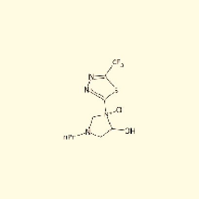 CCCN1CC(O)[N+]([O-])(c2nnc(C(F)(F)F)s2)C1